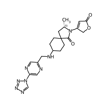 C[C@H]1CC2(CCC(NCc3cnc(-n4cnnn4)cn3)CC2)C(=O)N1C1=CC(=O)OC1